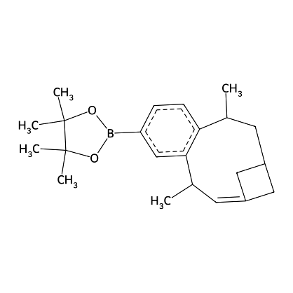 CC1C=C2CC(C2)CC(C)c2ccc(B3OC(C)(C)C(C)(C)O3)cc21